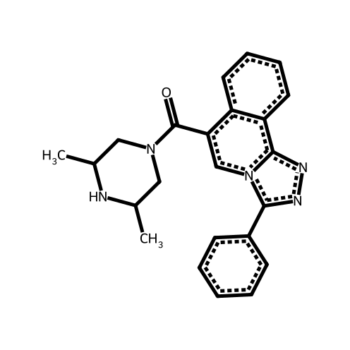 CC1CN(C(=O)c2cn3c(-c4ccccc4)nnc3c3ccccc23)CC(C)N1